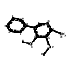 COc1c(-c2ccccc2)cnc([SiH3])c1OC